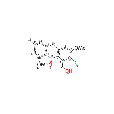 COc1cc2c(c(CO)c1Cl)C(=O)c1c(cc(C)cc1OC)C2